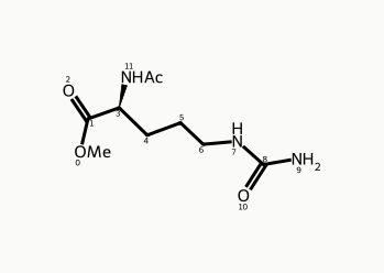 COC(=O)[C@H](CCCNC(N)=O)NC(C)=O